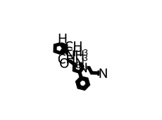 CC1(C)[C@@H]2CC[C@@]1(C)[C@@H](NC(=O)C1=NN(CCC#N)C(c3ccccc3)C1)C2